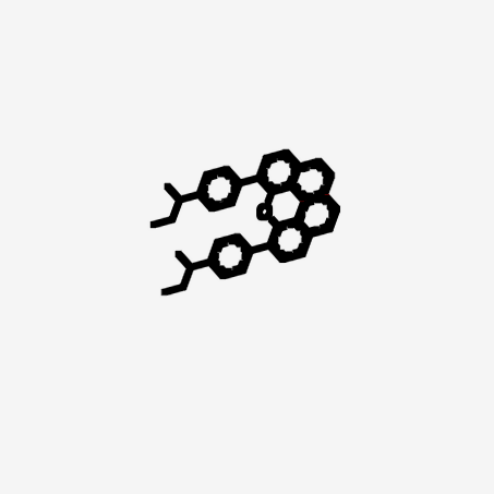 CCC(C)c1ccc(-c2ccc3ccccc3c2Oc2c(-c3ccc(C(C)CC)cc3)ccc3ccccc23)cc1